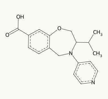 CC(C)C1COc2cc(C(=O)O)ccc2CN1c1ccncc1